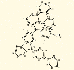 Cc1ccc(N(c2ccc3c(c2)N(c2ccc(-c4ccccc4)cc2)C2C=CC=CC32)c2cccc3c4ccccc4c4ccccc4c23)cc1